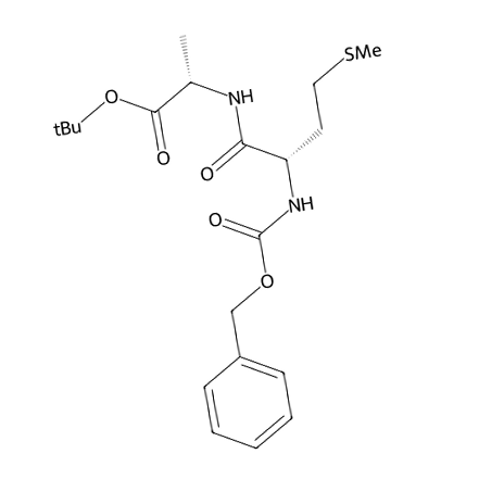 CSCC[C@H](NC(=O)OCc1ccccc1)C(=O)N[C@@H](C)C(=O)OC(C)(C)C